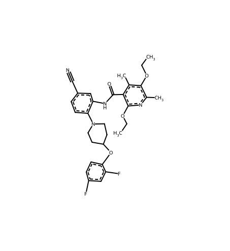 CCOc1nc(C)c(OCC)c(C)c1C(=O)Nc1cc(C#N)ccc1N1CCC(Oc2ccc(F)cc2F)CC1